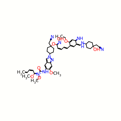 C=C/C=C\C(OC)=[N+](\OC)C(=O)Nc1cc2cn(C3CCC(CC#N)(OC(/C=C\C=C\C4=CC(=C/NC5CCC(O)(CC#N)CC5)/C(=N)C=C4OCC)=N\O)CC3)nc2cc1OC